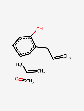 C=CC.C=CCc1ccccc1O.C=O